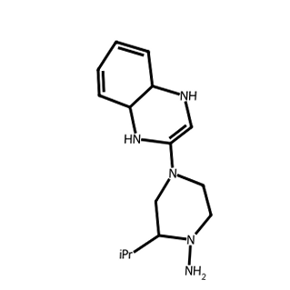 CC(C)C1CN(C2=CNC3C=CC=CC3N2)CCN1N